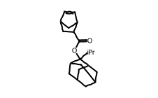 CC(C)C1(OC(=O)C2CC3C=CC2C3)C2CC3CC(C2)CC1C3